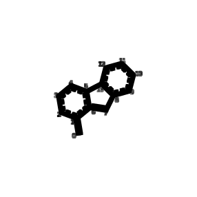 C=c1cccc2c1=Cc1ccccc1-2